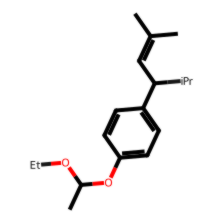 CCOC(C)Oc1ccc(C(C=C(C)C)C(C)C)cc1